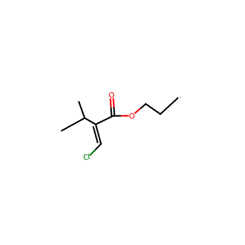 [CH2]CCOC(=O)C(=CCl)C(C)C